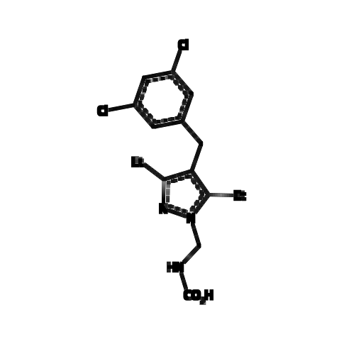 CCc1nn(CNC(=O)O)c(CC)c1Cc1cc(Cl)cc(Cl)c1